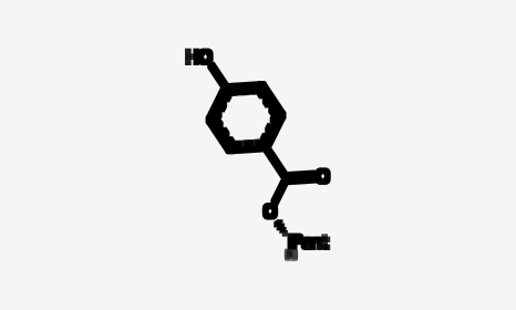 CCC[C@@H](C)OC(=O)c1ccc(O)cc1